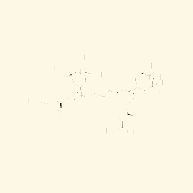 CC(C)OC(=O)CCN(CCCCCCN(CCC(=O)OC(C)C)C1CC(C)(C)NC(C)(C)C1)C1CC(C)(C)NC(C)(C)C1